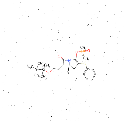 CC(C)(C)[Si](C)(C)OCC[C@@H]1C(=O)N2C(OP(C)(C)=O)=C(Sc3ccccc3)C[C@H]12